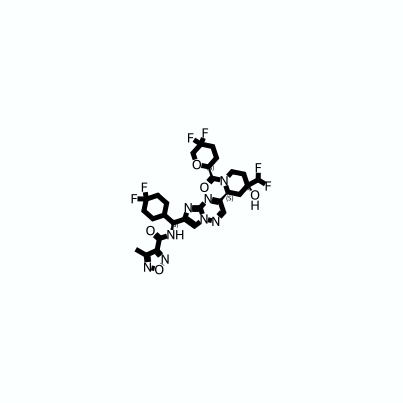 Cc1nonc1C(=O)N[C@H](c1cn2ncc([C@@H]3C[C@](O)(C(F)F)CCN3C(=O)[C@@H]3CCC(F)(F)CO3)nc2n1)C1CCC(F)(F)CC1